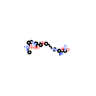 Cc1c(OC2CCC(CCCCN3CCN(c4ccc5c(C6CCC(=O)NC6=O)nn(C)c5c4)CC3)CC2)cccc1-c1ccc(N2CCc3cccc(C(=O)Nc4nc5ccccc5s4)c3C2)nc1C(=O)O